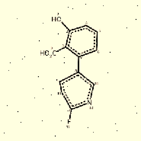 O=C(O)c1c(O)cccc1-c1ccc(F)nc1